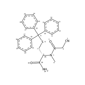 CN(C(=O)CC#N)[C@@H](CSC(c1ccccc1)(c1ccccc1)c1ccccc1)C(N)=O